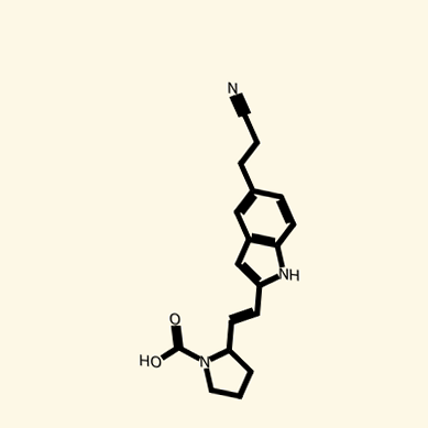 N#CCCc1ccc2[nH]c(C=CC3CCCN3C(=O)O)cc2c1